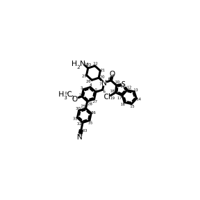 COc1ccc(CN(C(=O)c2sc3ccccc3c2Cl)C2CCC(N)CC2)cc1-c1ccc(C#N)cc1